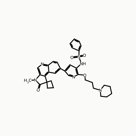 CN1C(=O)C2(CCC2)c2c1cnc1ccc(-c3cnc(OCCCN4CCCCC4)c(NS(=O)(=O)c4ccccc4)c3)cc21